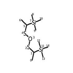 CC(SOSC(C)[Si](C)(C)C)[Si](C)(C)C